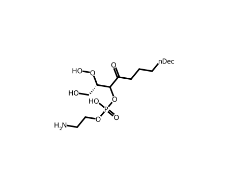 CCCCCCCCCCCCCC(=O)C(OP(=O)(O)OCCN)[C@H](CO)OO